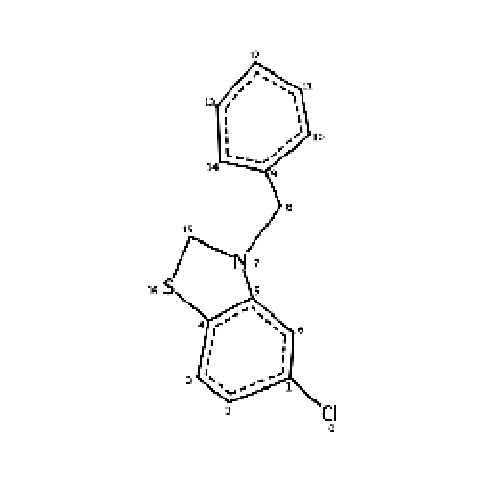 Clc1ccc2c(c1)N(Cc1ccccc1)CS2